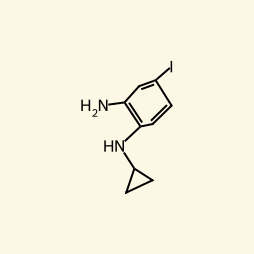 Nc1cc(I)ccc1NC1CC1